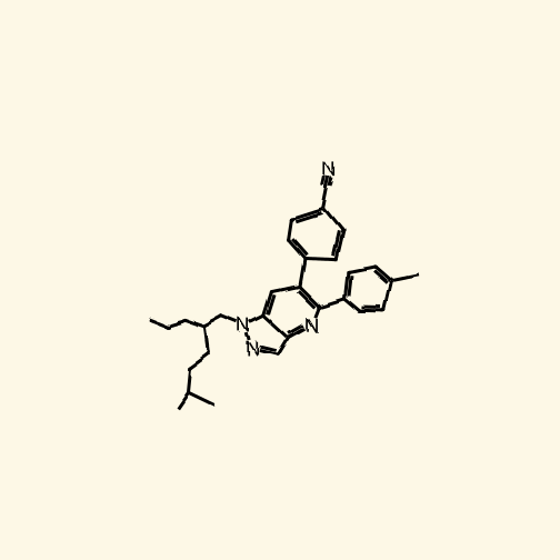 CCCC(CCC(C)C)Cn1ncc2nc(-c3ccc(C)cc3)c(-c3ccc(C#N)cc3)cc21